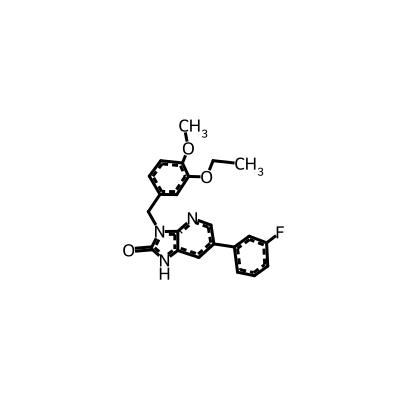 CCOc1cc(Cn2c(=O)[nH]c3cc(-c4cccc(F)c4)cnc32)ccc1OC